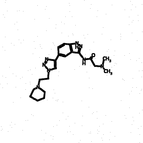 CN(C)CC(=O)Nc1n[nH]c2ccc(-c3cn(CCN4CCCCC4)nn3)cc12